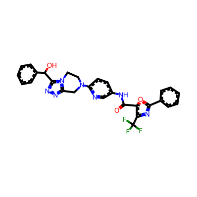 O=C(Nc1ccc(N2CCn3c(nnc3C(O)c3ccccc3)C2)nc1)c1oc(-c2ccccc2)nc1C(F)(F)F